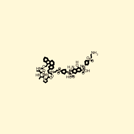 CC(NC(=O)OCC1c2ccccc2-c2ccccc21)C(=O)NC(C)C(=O)N1CCCC1C(=O)NC(Cc1ccccc1)C(=O)NCCS(=O)(=O)c1ccc(/N=N/c2c(S(=O)(=O)O)cc3cc(S(=O)(=O)O)c(/N=N/c4ccc(S(=O)(=O)CCN)cc4)c(O)c3c2N)cc1